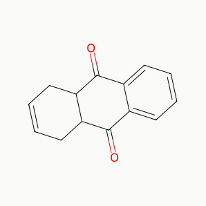 O=C1c2ccccc2C(=O)C2CC=CCC12